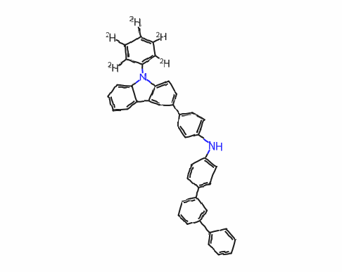 [2H]c1c([2H])c([2H])c(-n2c3ccccc3c3cc(-c4ccc(Nc5ccc(-c6cccc(-c7ccccc7)c6)cc5)cc4)ccc32)c([2H])c1[2H]